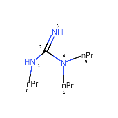 CCCNC(=N)N(CCC)CCC